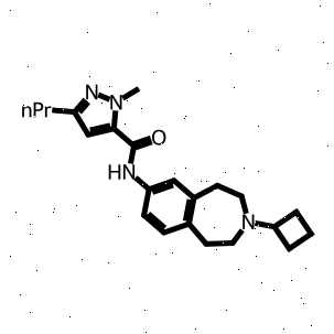 CCCc1cc(C(=O)Nc2ccc3c(c2)CCN(C2CCC2)CC3)n(C)n1